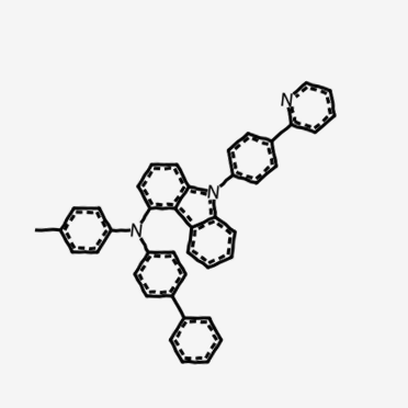 Cc1ccc(N(c2ccc(-c3ccccc3)cc2)c2cccc3c2c2ccccc2n3-c2ccc(-c3ccccn3)cc2)cc1